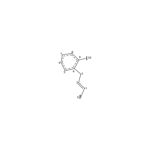 FC=CCc1ccccc1I